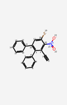 C#Cc1c(-c2ccccc2)c(-c2ccccc2)cc([S])c1[N+](=O)[O-]